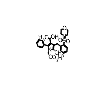 Cc1c(Cc2ccccc2S(=O)(=O)N2CCOCC2)c(C(C)O)c(-c2ccccc2)n1CC(=O)O